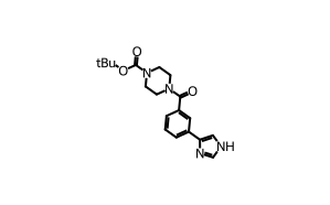 CC(C)(C)OC(=O)N1CCN(C(=O)c2cccc(-c3c[nH]cn3)c2)CC1